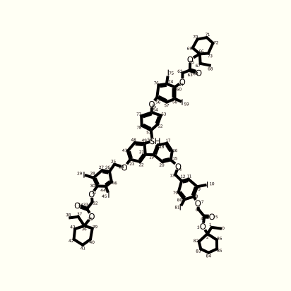 CCC1(OC(=O)COc2c(I)cc(COc3ccc4c(c3)-c3cc(OCc5cc(I)c(OCC(=O)OC6(CC)CCCCC6)c(I)c5)ccc3[SH]4c3ccc(Oc4cc(I)c(OCC(=O)OC5(CC)CCCCC5)c(I)c4)cc3)cc2I)CCCCC1